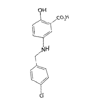 O=C(O)c1cc(NCc2ccc(Cl)cc2)ccc1O